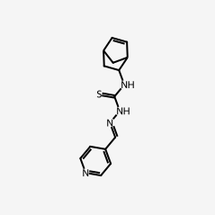 S=C(N/N=C/c1ccncc1)NC1CC2C=CC1C2